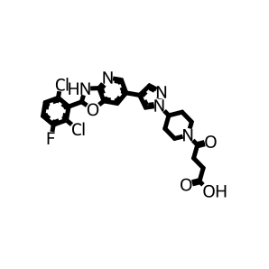 O=C(O)CCC(=O)N1CCC(n2cc(-c3cnc4c(c3)OC(c3c(Cl)ccc(F)c3Cl)N4)cn2)CC1